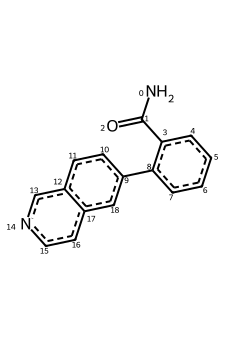 NC(=O)c1ccccc1-c1ccc2cnccc2c1